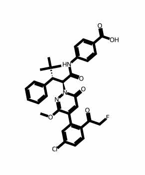 COc1nn([C@H](C(=O)Nc2ccc(C(=O)O)cc2)[C@H](c2ccccc2)C(C)(C)C)c(=O)cc1-c1cc(Cl)ccc1C(=O)CF